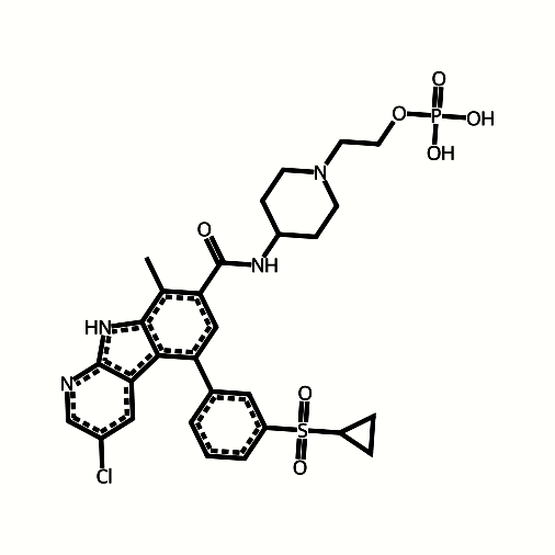 Cc1c(C(=O)NC2CCN(CCOP(=O)(O)O)CC2)cc(-c2cccc(S(=O)(=O)C3CC3)c2)c2c1[nH]c1ncc(Cl)cc12